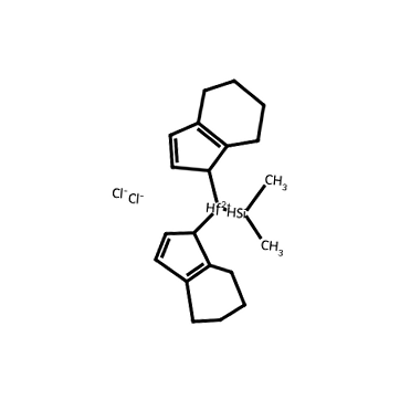 C[SiH](C)[Hf+2]([CH]1C=CC2=C1CCCC2)[CH]1C=CC2=C1CCCC2.[Cl-].[Cl-]